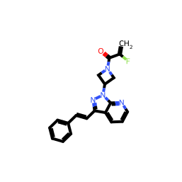 C=C(F)C(=O)N1CC(n2nc(C=Cc3ccccc3)c3cccnc32)C1